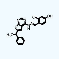 CC(c1ccccc1)c1cc2c(N/N=C/c3ccc(O)cc3Cl)ncnc2s1